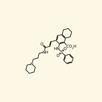 O=C(/C=C/c1cc2c(c(C(=O)O)c1NS(=O)(=O)c1ccccc1)CCCC2)NCCCN1CCCCC1